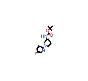 CC(C)(C)OC(=O)N[C@H]1CCCN(c2ccc(I)cn2)C1